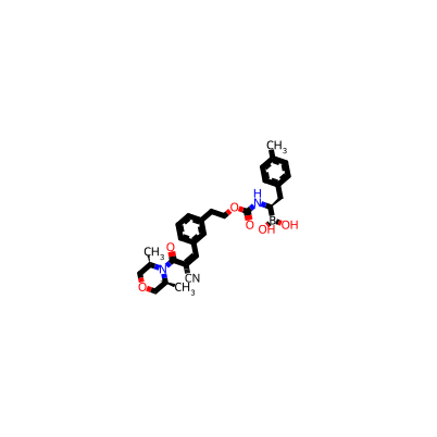 Cc1ccc(C[C@H](NC(=O)OCCc2cccc(C=C(C#N)C(=O)N3[C@@H](C)COC[C@@H]3C)c2)B(O)O)cc1